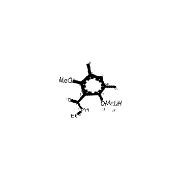 CCPC(=O)c1c(OC)c(C)cc(C)c1OC.[LiH]